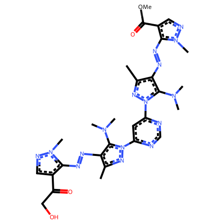 COC(=O)c1cnn(C)c1/N=N/c1c(C)nn(-c2cc(-n3nc(C)c(/N=N/c4c(C(=O)CO)cnn4C)c3N(C)C)ncn2)c1N(C)C